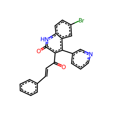 O=C(C=Cc1ccccc1)c1c(-c2cccnc2)c2cc(Br)ccc2[nH]c1=O